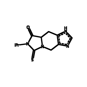 CC(C)N1C(=O)C2Cc3[nH]cnc3CN2C1=S